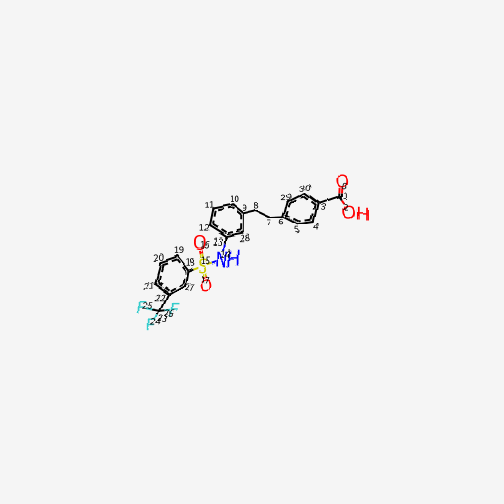 O=C(O)c1ccc(CCc2cccc(NS(=O)(=O)c3cccc(C(F)(F)F)c3)c2)cc1